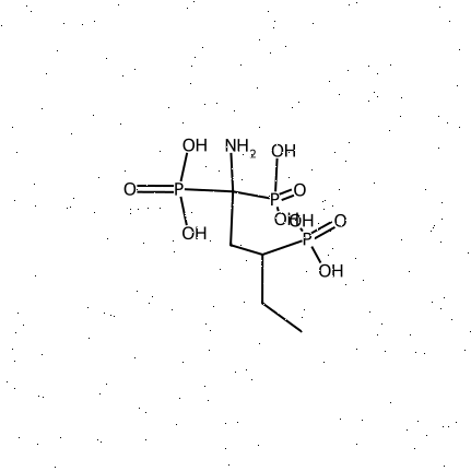 CCC(CC(N)(P(=O)(O)O)P(=O)(O)O)P(=O)(O)O